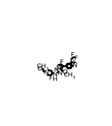 COCCN1CC[C@H](Nc2nc(OC)c3c(-c4ccc5ncn(CC(F)F)c5c4)c(F)cn3n2)[C@H](F)C1